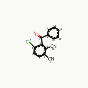 N#Cc1ccc(Cl)c(C(=O)c2ccccc2)c1C#N